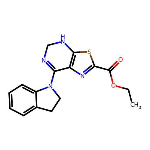 CCOC(=O)c1nc2c(s1)NCN=C2N1CCc2ccccc21